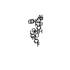 O=C(Nc1ccc(Oc2cc(N3CCOCC3)cn3nccc23)c(F)c1)c1c(I)ccn(-c2ccc(F)cc2)c1=O